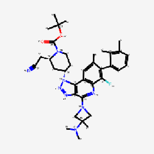 Cc1cccc(-c2c(C)cc3c(nc(N4CC(C)(N(C)C)C4)c4nnn([C@H]5CCN(C(=O)OC(C)(C)C)[C@H](CC#N)C5)c43)c2F)c1C